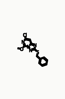 COc1nc(Cl)cc2nc(SCc3ccccc3)nn12